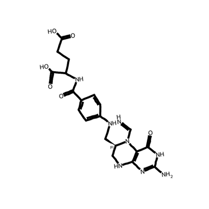 N=CN1c2c(nc(N)[nH]c2=O)NC[C@H]1CNc1ccc(C(=O)NC(CCC(=O)O)C(=O)O)cc1